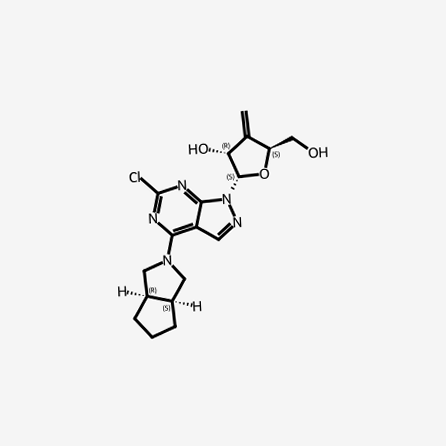 C=C1[C@@H](O)[C@@H](n2ncc3c(N4C[C@H]5CCC[C@H]5C4)nc(Cl)nc32)O[C@@H]1CO